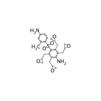 Cc1cc(N)ccc1S(=O)(=O)c1c(CC2CO2)c(CC2CO2)c(N)c(CC2CO2)c1CC1CO1